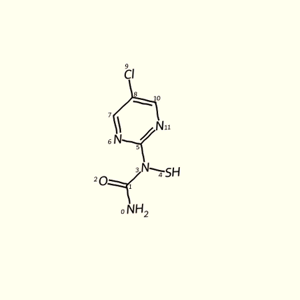 NC(=O)N(S)c1ncc(Cl)cn1